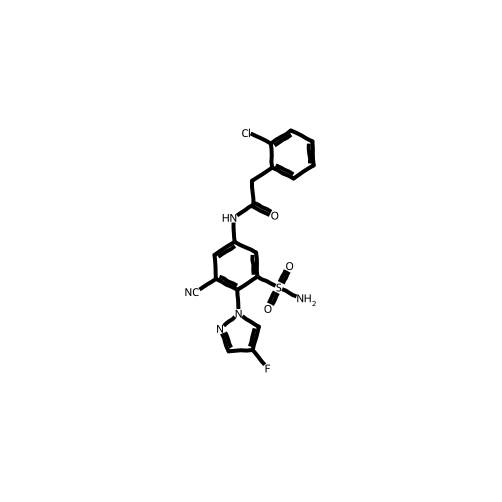 N#Cc1cc(NC(=O)Cc2ccccc2Cl)cc(S(N)(=O)=O)c1-n1cc(F)cn1